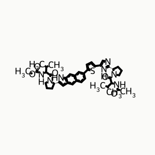 COC(=O)NC(C(=O)N1CCC[C@H]1c1cc2cc3ccc(-c4ccc(-c5cnc([C@@H]6CCCN6C(=O)C(NC(C)=O)C(C)C)[nH]5)s4)cc3cc2[nH]1)C(C)C